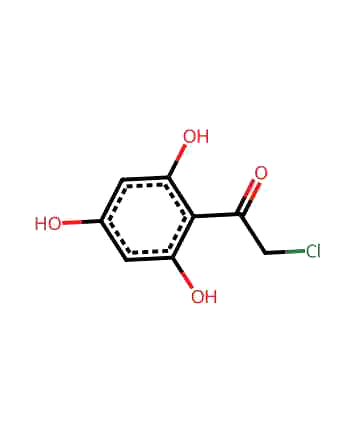 O=C(CCl)c1c(O)cc(O)cc1O